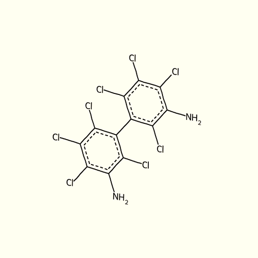 Nc1c(Cl)c(Cl)c(Cl)c(-c2c(Cl)c(N)c(Cl)c(Cl)c2Cl)c1Cl